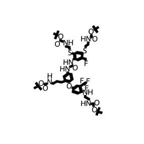 CC(C)(C)OC(=O)NCCCc1cc(NC(=O)Nc2cc(CF)c(SCCNC(=O)OC(C)(C)C)cc2SCCNC(=O)OC(C)(C)C)ccc1Oc1ccc(NCCNC(=O)OC(C)(C)C)c(C(F)(F)F)c1